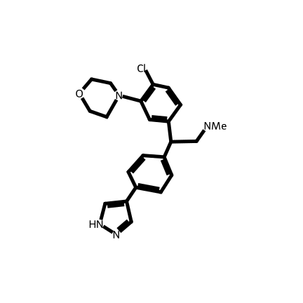 CNCC(c1ccc(-c2cn[nH]c2)cc1)c1ccc(Cl)c(N2CCOCC2)c1